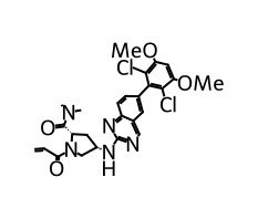 C=CC(=O)N1C[C@@H](Nc2ncc3cc(-c4c(Cl)c(OC)cc(OC)c4Cl)ccc3n2)C[C@H]1C(=O)N(C)C